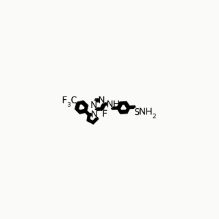 NSCc1ccc(CNc2ncnc(N3CCCC3c3ccc(C(F)(F)F)cc3)c2F)cc1